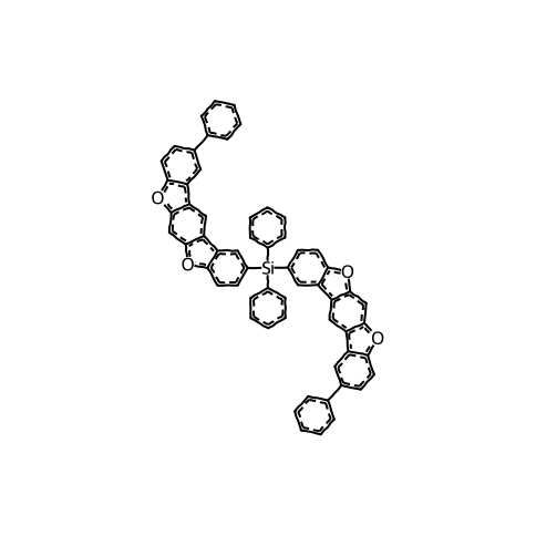 c1ccc(-c2ccc3oc4cc5oc6ccc([Si](c7ccccc7)(c7ccccc7)c7ccc8oc9cc%10oc%11ccc(-c%12ccccc%12)cc%11c%10cc9c8c7)cc6c5cc4c3c2)cc1